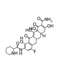 NC(=O)C1=C(O)C[C@@H]2CC3Cc4c(F)cc(NC(=O)C5CCCCN5)c(O)c4C(=O)C3=C(O)[C@]2(O)C1=O